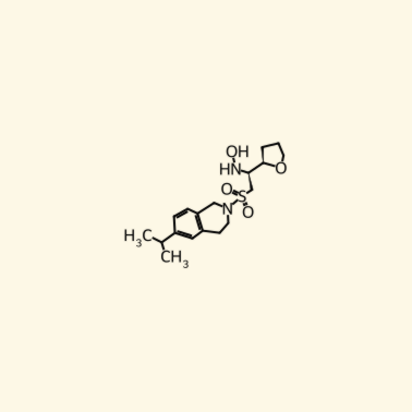 CC(C)c1ccc2c(c1)CCN(S(=O)(=O)C[C@@H](NO)[C@H]1CCCO1)C2